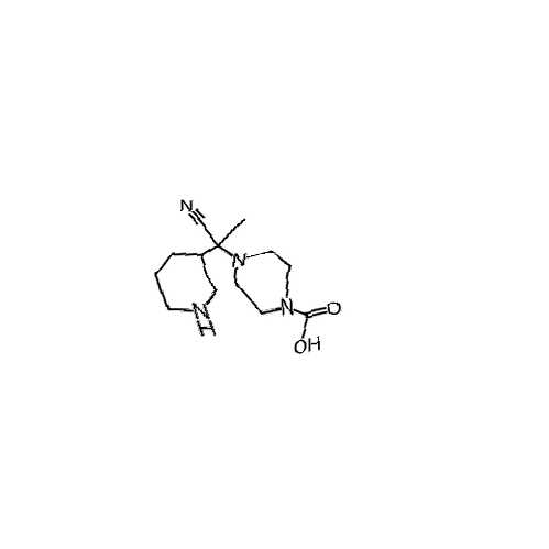 CC(C#N)(C1CCCNC1)N1CCN(C(=O)O)CC1